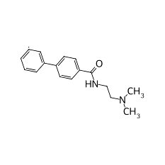 CN(C)CCNC(=O)c1ccc(-c2c[c]ccc2)cc1